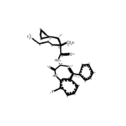 O=C1Nc2c(F)cccc2C(c2ccccc2)=N[C@H]1NC(=O)C(CCCC(F)(F)F)(CC1CC1)C(=O)O